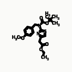 CCOC(=O)Cc1csc(N(Cc2ccc(OC)cc2)C(=O)OC(C)(C)C)n1